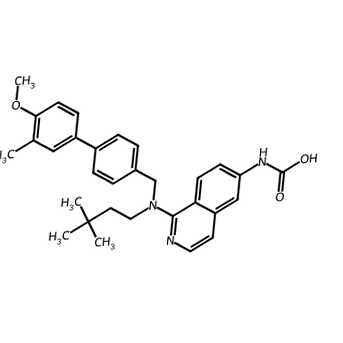 COc1ccc(-c2ccc(CN(CCC(C)(C)C)c3nccc4cc(NC(=O)O)ccc34)cc2)cc1C